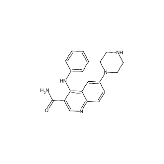 NC(=O)c1cnc2ccc(N3CCNCC3)cc2c1Nc1ccccc1